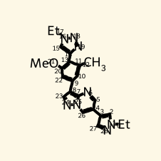 CCn1cc(-c2cnc3c(-c4cc(C)c(-c5cn(CC)nn5)c(OC)c4)cnn3c2)cn1